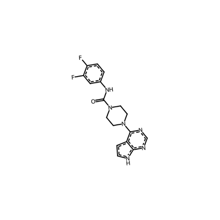 O=C(Nc1ccc(F)c(F)c1)N1CCN(c2ncnc3[nH]ccc23)CC1